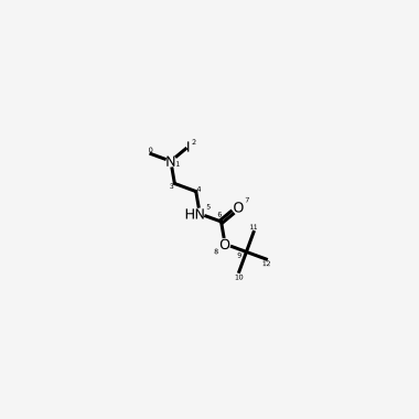 CN(I)CCNC(=O)OC(C)(C)C